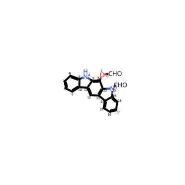 O=COc1c2[nH]c3ccccc3c2cc2c3ccccc3n(C=O)c12